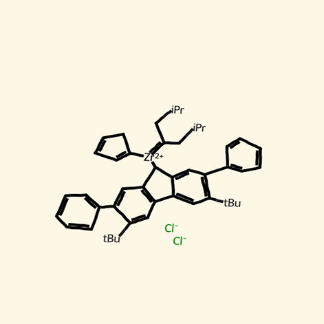 CC(C)C[C](CC(C)C)=[Zr+2]([C]1=CC=CC1)[CH]1c2cc(-c3ccccc3)c(C(C)(C)C)cc2-c2cc(C(C)(C)C)c(-c3ccccc3)cc21.[Cl-].[Cl-]